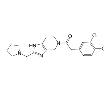 O=C(Cc1ccc(Cl)c(Cl)c1)N1CCc2[nH]c(CN3CCCC3)nc2C1